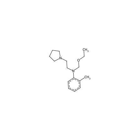 CCOCN(CCN1CCCC1)c1ccccc1C